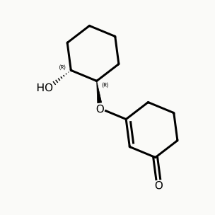 O=C1C=C(O[C@@H]2CCCC[C@H]2O)CCC1